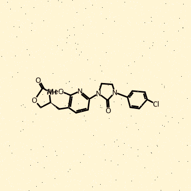 COc1nc(N2CCN(c3ccc(Cl)cc3)C2=O)ccc1C[C@H]1COC(=O)N1